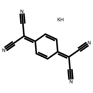 N#CC(C#N)=c1ccc(=C(C#N)C#N)cc1.[KH]